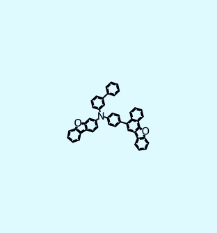 c1ccc(-c2cccc(N(c3ccc(-c4cc5c6ccccc6oc5c5ccccc45)cc3)c3ccc4c(c3)oc3ccccc34)c2)cc1